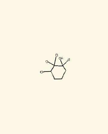 OC1(Cl)CCCC(Cl)C1(Cl)Cl